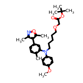 COc1ccc(N(CCCCCOCC(=O)OC(C)(C)C)c2cc(-c3c(C)noc3C)ccc2C)cc1